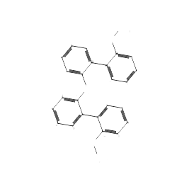 COc1ccccc1-c1ccccc1Oc1ccccc1-c1ccccc1OC